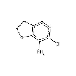 Nc1c(Cl)ccc2c1OCC2